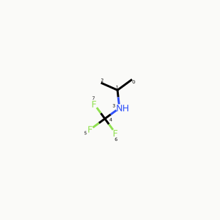 CC(C)NC(F)(F)F